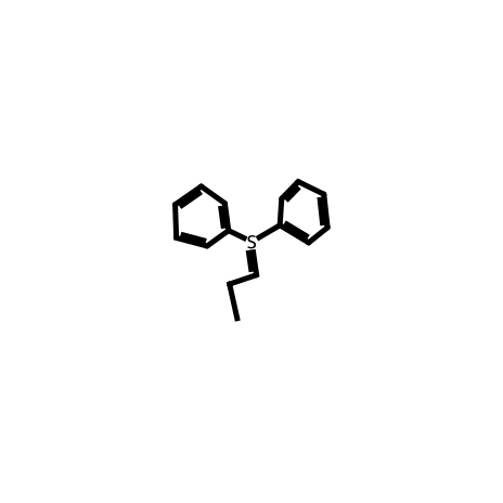 CCC=S(c1ccccc1)c1ccccc1